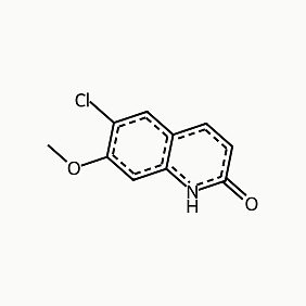 COc1cc2[nH]c(=O)ccc2cc1Cl